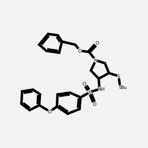 CC(C)(C)SC1CN(C(=O)OCc2ccccc2)CC1NS(=O)(=O)c1ccc(Oc2ccccc2)cc1